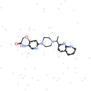 CC(c1ccc2cccnc2n1)N1CCN(c2cc3c(cn2)NC(=O)CO3)CC1